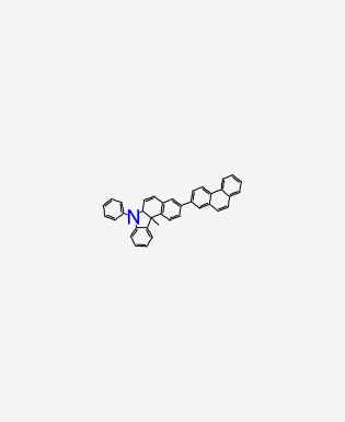 CC12c3ccc(-c4ccc5c(ccc6ccccc65)c4)cc3C=CC1N(c1ccccc1)c1ccccc12